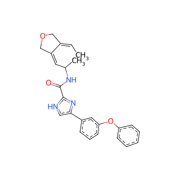 C/C=C1/COC/C1=C/C(C)NC(=O)c1nc(-c2cccc(Oc3ccccc3)c2)c[nH]1